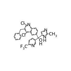 Cc1ncc(C(O)(c2ccc(C(F)(F)F)nc2)c2ccc3nc(Cl)c(Cc4ccccc4)c(Cl)c3c2)[nH]1